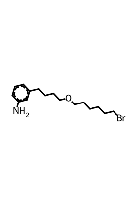 Nc1cccc(CCCCOCCCCCCBr)c1